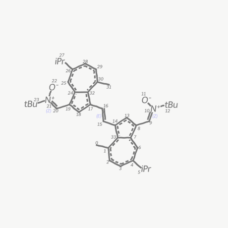 Cc1ccc(C(C)C)cc2c(/C=[N+](\[O-])C(C)(C)C)cc(/C=C/c3cc(/C=[N+](\[O-])C(C)(C)C)c4cc(C(C)C)ccc(C)c3-4)c1-2